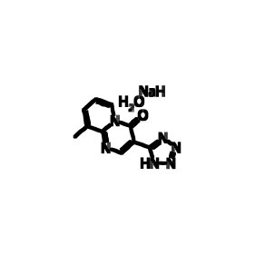 Cc1cccn2c(=O)c(-c3nnn[nH]3)cnc12.O.[NaH]